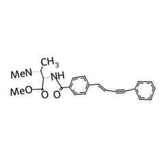 CN[C@H](C)[C@H](NC(=O)c1ccc(/C=C/C#Cc2ccccc2)cc1)C(=O)OC